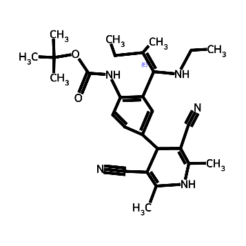 CCN/C(=C(\C)CC)c1cc(C2C(C#N)=C(C)NC(C)=C2C#N)ccc1NC(=O)OC(C)(C)C